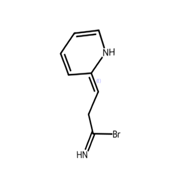 N=C(Br)C/C=C1\C=CC=CN1